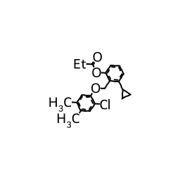 CCC(=O)Oc1cccc(C2CC2)c1COc1cc(C)c(C)cc1Cl